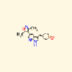 Cc1noc(C)c1-c1cnc2[nH]cc(C=C3CC[S+]([O-])CC3)c2c1